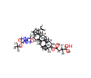 C=C(C)[C@@H]1CC[C@]2(CC(=O)NNC(=O)OC(C)(C)C)CC[C@]3(C)[C@H](CC[C@@H]4[C@@]5(C)CC[C@H](OC(=O)CC(C)(C)C(=O)O)C(C)(C)[C@@H]5CC[C@]43C)[C@@H]12